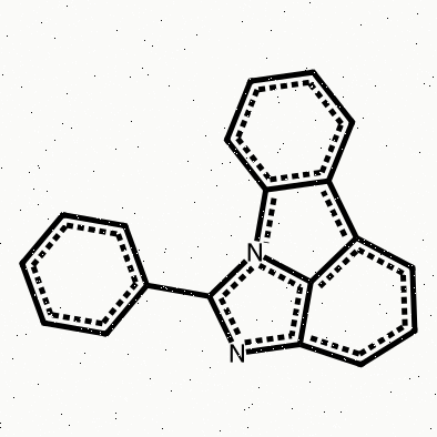 c1ccc(-c2nc3cccc4c5ccccc5n2c34)cc1